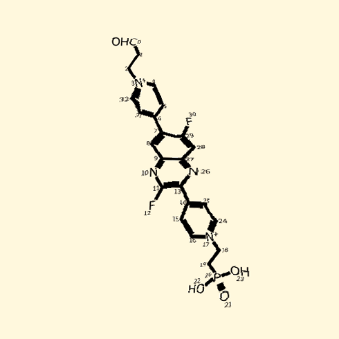 O=CCC[n+]1ccc(-c2cc3nc(F)c(-c4cc[n+](CCP(=O)(O)O)cc4)nc3cc2F)cc1